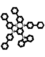 C1=CC(c2ccc(N3c4ccc(-c5ccccc5)cc4B4c5cc(-c6ccccc6)ccc5N(c5ccc(-c6ccccc6)cc5)c5cc(-n6c7ccccc7c7ccccc76)cc3c54)cc2)=CCC1